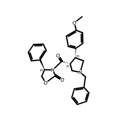 COc1ccc([C@@H]2CN(Cc3ccccc3)C[C@@H]2C(=O)N2C(=O)OC[C@H]2c2ccccc2)cc1